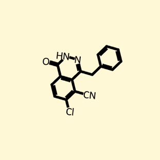 N#Cc1c(Cl)ccc2c(=O)[nH]nc(Cc3ccccc3)c12